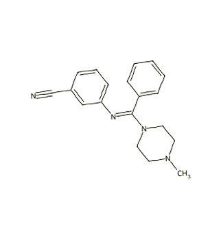 CN1CCN(C(=Nc2cccc(C#N)c2)c2ccccc2)CC1